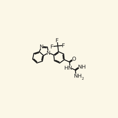 N=C(N)NC(=O)c1ccc(-n2cnc3ccccc32)c(C(F)(F)F)c1